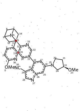 COc1ccc(CN2C3CC2CN(c2ccc(-c4cc(N5CC[C@@H](OC)C5)cn5ncc(C#N)c45)cn2)C3)cn1